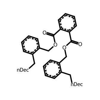 CCCCCCCCCCCc1ccccc1COC(=O)c1ccccc1C(=O)OCc1ccccc1CCCCCCCCCCC